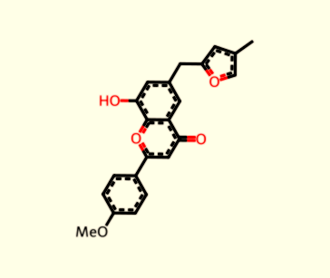 COc1ccc(-c2cc(=O)c3cc(Cc4cc(C)co4)cc(O)c3o2)cc1